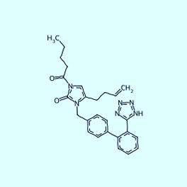 C=CCCc1cn(C(=O)CCCC)c(=O)n1Cc1ccc(-c2ccccc2-c2nnn[nH]2)cc1